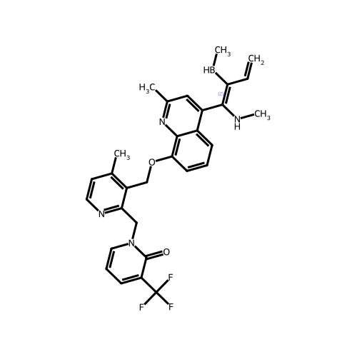 C=C/C(BC)=C(\NC)c1cc(C)nc2c(OCc3c(C)ccnc3Cn3cccc(C(F)(F)F)c3=O)cccc12